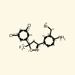 Nc1ccc(C2=NOC(c3cc(Cl)cc(Cl)c3)(C(F)(F)F)C2)cc1CBr